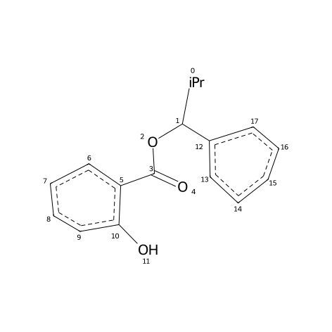 CC(C)C(OC(=O)c1ccccc1O)c1ccccc1